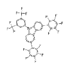 Fc1c(F)c(F)c(-c2ccc3c(c2)c2cc(-c4c(F)c(F)c(F)c(F)c4F)ccc2n3-c2cc(C(F)(F)F)cc(C(F)(F)F)c2)c(F)c1F